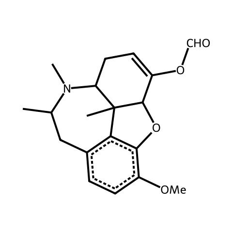 COc1ccc2c3c1OC1C(OC=O)=CCC(N(C)C(C)C2)C31C